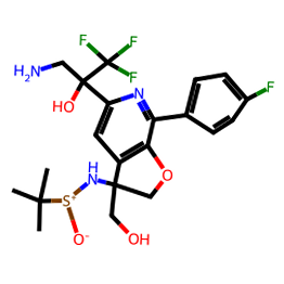 CC(C)(C)[S+]([O-])NC1(CO)COc2c1cc(C(O)(CN)C(F)(F)F)nc2-c1ccc(F)cc1